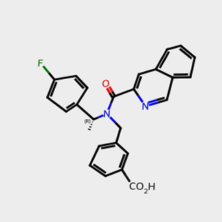 C[C@H](c1ccc(F)cc1)N(Cc1cccc(C(=O)O)c1)C(=O)c1cc2ccccc2cn1